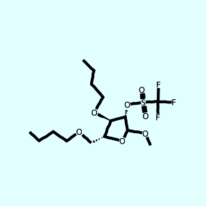 CCCCOC[C@H]1OC(OC)[C@@H](OS(=O)(=O)C(F)(F)F)[C@@H]1OCCCC